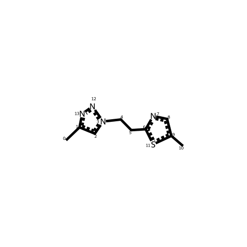 Cc1cn(CCc2ncc(C)s2)nn1